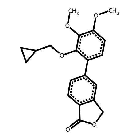 COc1ccc(-c2ccc3c(c2)COC3=O)c(OCC2CC2)c1OC